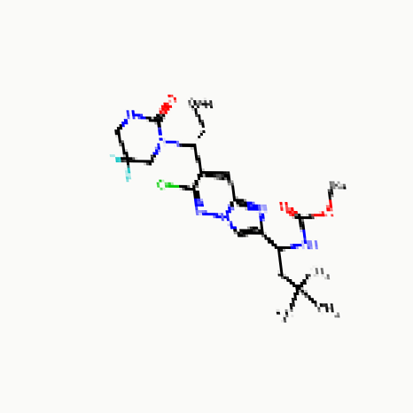 COC[C@H](c1cc2nc([C@H](CC(C)(C)C(F)(F)F)NC(=O)OC(C)(C)C)cn2nc1Cl)N1CC(F)(F)CNC1=O